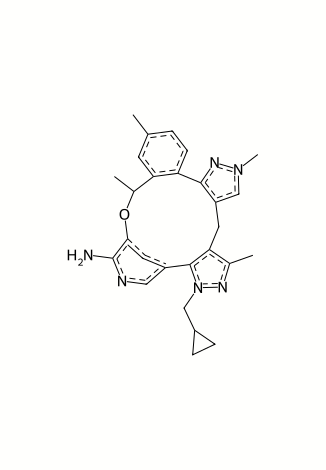 Cc1ccc2c(c1)C(C)Oc1cc(cnc1N)-c1c(c(C)nn1CC1CC1)Cc1cn(C)nc1-2